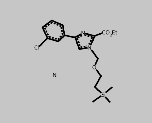 CCOC(=O)c1nc(-c2cccc(Cl)c2)cn1COCC[Si](C)(C)C.[N]